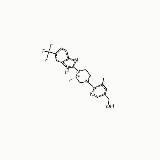 Cc1cc(CO)cnc1N1CCN(c2nc3ccc(C(F)(F)F)cc3[nH]2)[C@@H](C)C1